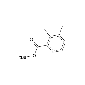 Cc1cccc(C(=O)OC(C)(C)C)c1I